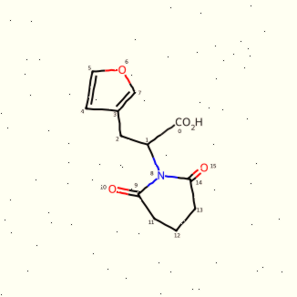 O=C(O)C(Cc1ccoc1)N1C(=O)CCCC1=O